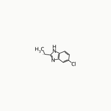 C[CH]c1nc2cc(Cl)ccc2[nH]1